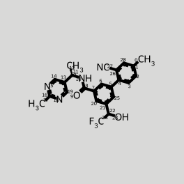 Cc1ccc(-c2cc(C(=O)N[C@H](C)c3cnc(C)nc3)cc(C(O)C(F)(F)F)c2)c(C#N)c1